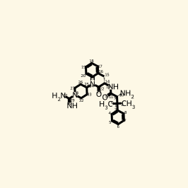 CC(C)(c1ccccc1)[C@@H](N)C(=O)N[C@@H](Cc1ccccc1)C(=O)NC1CCN(C(=N)N)CC1